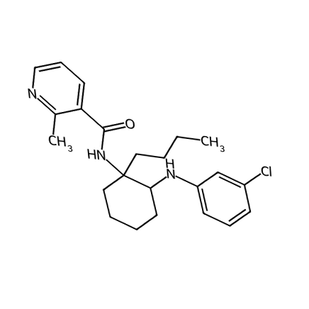 CCCCC1(NC(=O)c2cccnc2C)CCCCC1Nc1cccc(Cl)c1